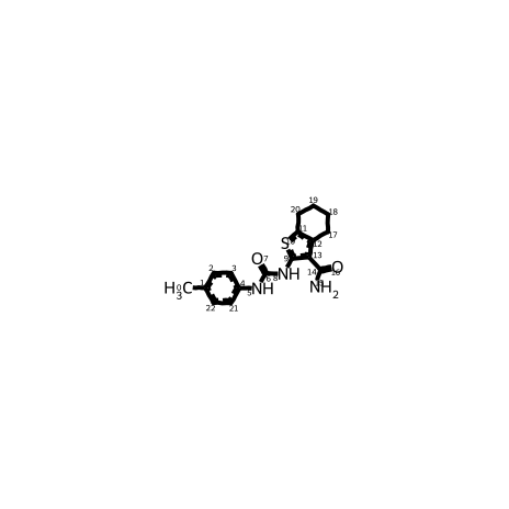 Cc1ccc(NC(=O)Nc2sc3c(c2C(N)=O)CCCC3)cc1